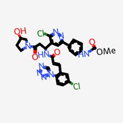 COC(=O)Nc1ccc(-c2cc(C(CC(=O)N3CCC(O)C3)NC(=O)C=Cc3cc(Cl)ccc3-n3cnnn3)c(Cl)nn2)cc1